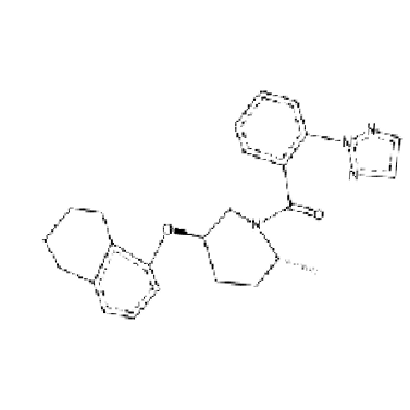 C[C@@H]1CC[C@@H](Oc2cccc3c2CCCC3)CN1C(=O)c1ccccc1-n1nccn1